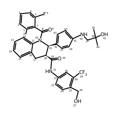 Cc1cccc(F)c1C(=O)N1c2ccccc2C[C@H](C(=O)Nc2ccc(CO)c(C(F)(F)F)c2)[C@@H]1c1ccc(NCC(C)(C)O)cc1